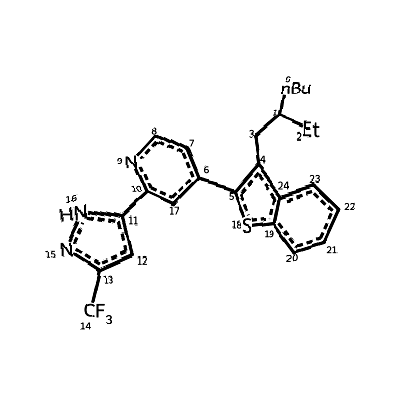 CCCCC(CC)Cc1c(-c2ccnc(-c3cc(C(F)(F)F)n[nH]3)c2)sc2ccccc12